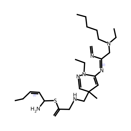 C=N/C(CN(CC)CCCCC)=N\C1=CC(C)(CNCC(=C)SC(N)/C=C\CC)C=NN1CC